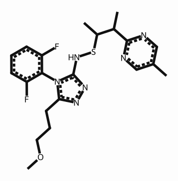 COCCCc1nnc(NSC(C)C(C)c2ncc(C)cn2)n1-c1c(F)cccc1F